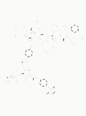 CC[C@H](C)[C@@H]([C@@H](CC(=O)N1CCC[C@H]1[C@H](OC)[C@@H](C)C(=O)N[C@H](C)[C@@H](O)c1ccccc1)OC)N(C)C(=O)[C@@H](NC(=O)C(C(C)C)N(C)C(=O)OCc1ccc(NC(=O)[C@H](CCCNC(N)=O)NC(=O)[C@@H](NC(=O)Cc2ccc(N3C(=O)C=CC3=O)cc2)C(C)C)cc1)C(C)C